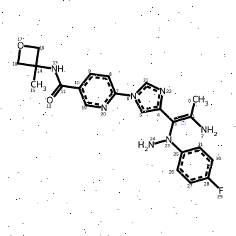 C/C(N)=C(\c1cn(-c2ccc(C(=O)NC3(C)COC3)cn2)cn1)N(N)c1ccc(F)cc1